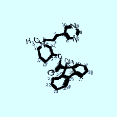 C[N@@+]1(CCCc2cncnc2)CCCC(OC(=O)C2(O)c3ccccc3-c3ccccc32)C1